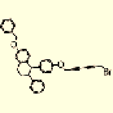 BrCC#CC#CCOc1ccc(C2c3ccc(OCc4ccccc4)cc3CCC2c2ccccc2)cc1